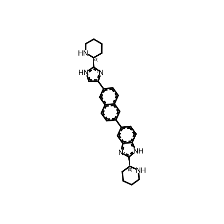 c1cc2cc(-c3c[nH]c([C@@H]4CCCCN4)n3)ccc2cc1-c1ccc2[nH]c([C@@H]3CCCCN3)nc2c1